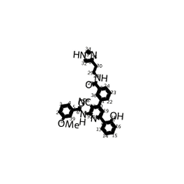 COc1cccc(C(=O)Nc2nc(-c3ccccc3O)cc(-c3cccc(C(=O)NCCc4c[nH]cn4)c3)c2C#N)c1